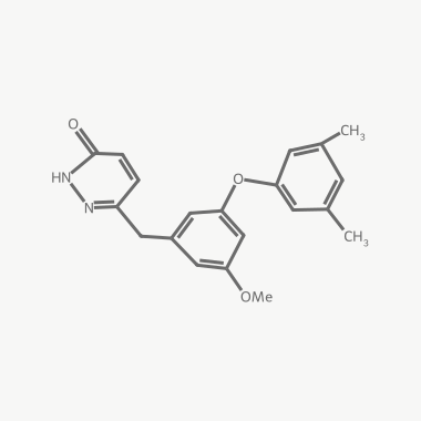 COc1cc(Cc2ccc(=O)[nH]n2)cc(Oc2cc(C)cc(C)c2)c1